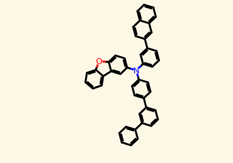 c1ccc(-c2cccc(-c3ccc(N(c4cccc(-c5ccc6ccccc6c5)c4)c4ccc5oc6ccccc6c5c4)cc3)c2)cc1